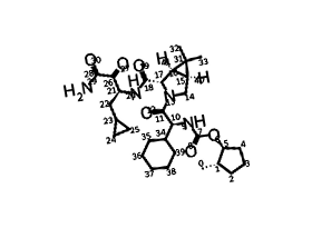 C[C@H]1CCC[C@@H]1OC(=O)N[C@H](C(=O)N1C[C@H]2[C@@H]([C@H]1C(=O)N[C@@H](CC1CC1)C(=O)C(N)=O)C2(C)C)C1CCCCC1